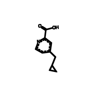 O=C(O)c1cc(CC2CC2)ccn1